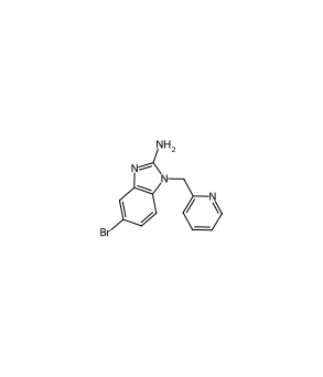 Nc1nc2cc(Br)ccc2n1Cc1ccccn1